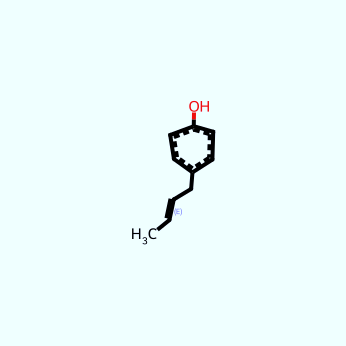 C/C=C/Cc1ccc(O)cc1